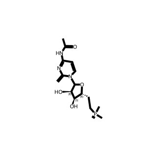 C=C1N=C(NC(C)=O)C=CN1C1O[C@H](CCP(=C)(C)C)[C@@H](O)[C@H]1O